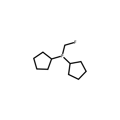 FCP(C1CCCC1)C1CCCC1